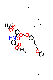 COC(=O)c1ccc(OCCOc2ccc(C=CCCCOc3ccccc3)cc2)c(C(=O)NC2CCCC(C(=O)OC)C2)c1